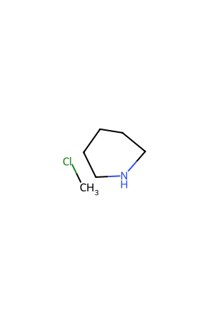 C1CCNCC1.CCl